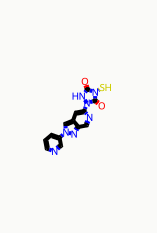 O=c1[nH]n(-c2cc3cn(-c4cccnc4)nc3cn2)c(=O)n1S